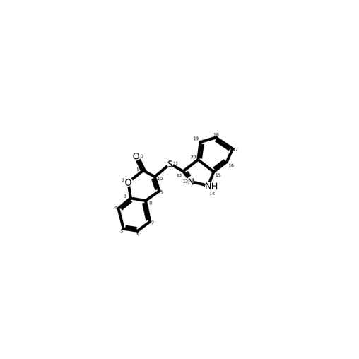 O=c1oc2ccccc2cc1Sc1n[nH]c2ccccc12